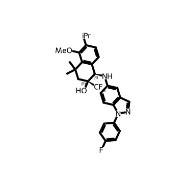 COc1c(C(C)C)ccc2c1C(C)(C)C[C@](O)(C(F)(F)F)[C@@H]2Nc1ccc2c(cnn2-c2ccc(F)cc2)c1